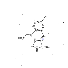 O=C(O)COc1ccc(Cl)cc1/C=C1\SCNC1=O